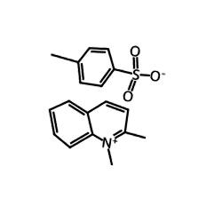 Cc1ccc(S(=O)(=O)[O-])cc1.Cc1ccc2ccccc2[n+]1C